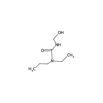 CCCN(CC)C(=O)NCO